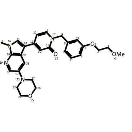 COCCOc1cccc(Cn2ccc(-c3cn(C)c4ncc(N5CCOCC5)cc34)cc2=O)c1